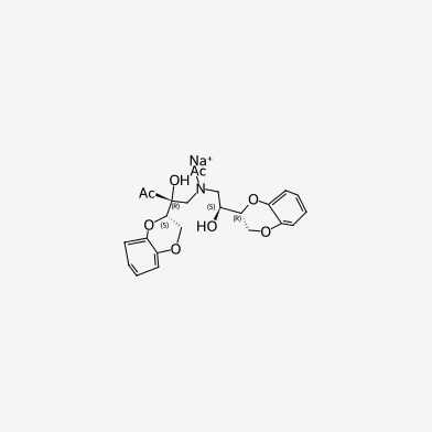 CC(=O)N(C[C@H](O)[C@H]1COc2ccccc2O1)C[C@](O)(C(C)=O)[C@@H]1COc2ccccc2O1.[Na+]